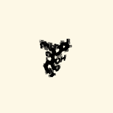 CCN1CCC/C(=C(/O)C(=O)/C(=C\NNC)Cc2ccc(F)cc2F)C1=O